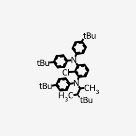 CC([C@H](C)C(C)(C)C)N(c1ccc(C(C)(C)C)cc1)c1cccc(N(c2ccc(C(C)(C)C)cc2)c2ccc(C(C)(C)C)cc2)c1Cl